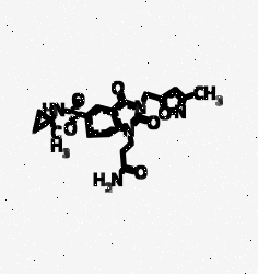 Cc1cc(Cn2c(=O)c3cc(S(=O)(=O)NC4(C)CC4)ccc3n(CCC(N)=O)c2=O)on1